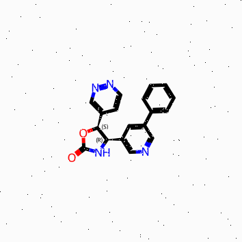 O=C1N[C@H](c2cncc(-c3ccccc3)c2)[C@H](c2ccnnc2)O1